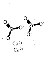 O=[Si]([O-])[O-].[Ca+2].[Ca+2].[O]=[Zr]([O-])[O-]